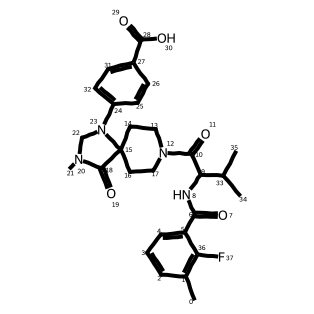 Cc1cccc(C(=O)NC(C(=O)N2CCC3(CC2)C(=O)N(C)CN3c2ccc(C(=O)O)cc2)C(C)C)c1F